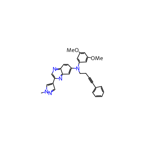 COc1cc(OC)cc(N(CCC#Cc2ccccc2)c2ccc3ncc(-c4cnn(C)c4)nc3c2)c1